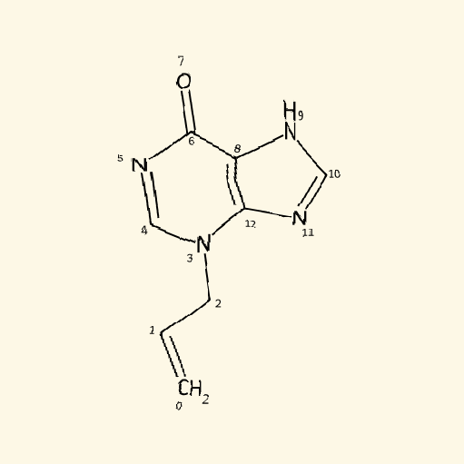 C=CCn1cnc(=O)c2[nH]cnc21